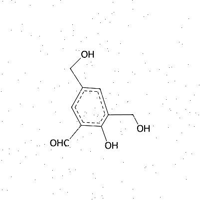 O=Cc1cc(CO)cc(CO)c1O